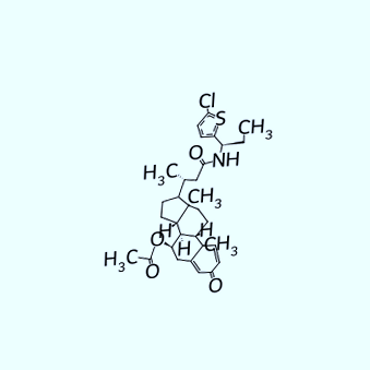 CC[C@@H](NC(=O)C[C@@H](C)C1CC[C@H]2[C@@H]3[C@H](OC(C)=O)CC4=CC(=O)C=C[C@]4(C)[C@H]3CC[C@]12C)c1ccc(Cl)s1